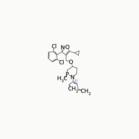 C=C/C=C(\C=C)N1CCC(OCc2c(-c3c(Cl)cccc3Cl)noc2C2CC2)CP1C